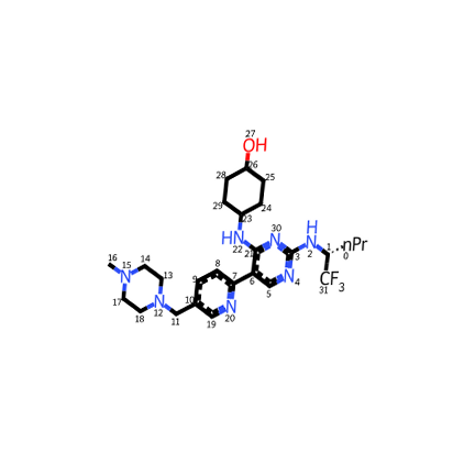 CCC[C@@H](Nc1ncc(-c2ccc(CN3CCN(C)CC3)cn2)c(NC2CCC(O)CC2)n1)C(F)(F)F